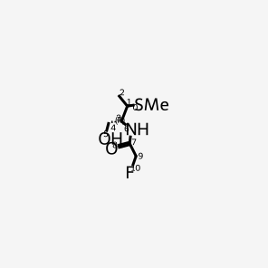 CSC(C)[C@@H](CO)NC(=O)CF